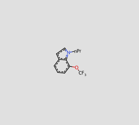 CCCn1ccc2cccc(OC(F)(F)F)c21